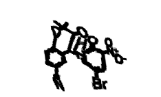 CC1(C)Oc2ccc(C#N)cc2C(n2cc(Br)cc([N+](=O)[O-])c2=O)C1O